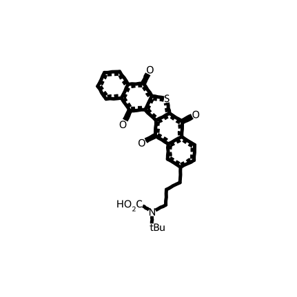 CC(C)(C)N(CCCc1ccc2c(=O)c3sc4c(=O)c5ccccc5c(=O)c4c3c(=O)c2c1)C(=O)O